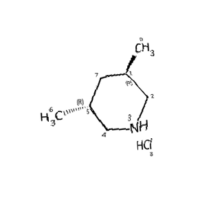 C[C@H]1CNC[C@H](C)C1.Cl